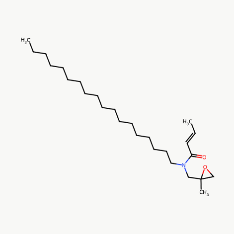 C/C=C/C(=O)N(CCCCCCCCCCCCCCCCCC)CC1(C)CO1